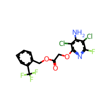 Nc1c(Cl)c(F)nc(OCC(=O)OCc2ccccc2C(F)(F)F)c1Cl